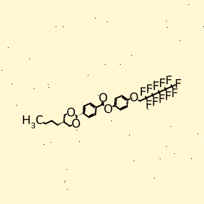 CCCC[C@H]1CO[C@H](c2ccc(C(=O)Oc3ccc(OCC(F)(F)C(F)(F)C(F)(F)C(F)(F)C(F)(F)F)cc3)cc2)OC1